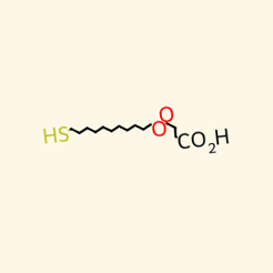 O=C(O)CCC(=O)OCCCCCCCCCCCS